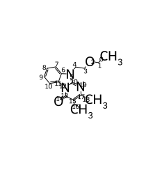 CCOCCn1c2ccccc2n2c(=O)c(C)c(C)nc12